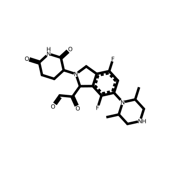 CC1CNCC(C)N1c1cc(F)c2c(c1F)C(C(=O)C=O)N(C1CCC(=O)NC1=O)C2